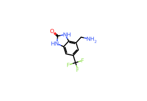 NCc1cc(C(F)(F)F)cc2[nH]c(=O)[nH]c12